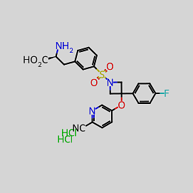 Cl.Cl.N#Cc1ccc(OC2(c3ccc(F)cc3)CN(S(=O)(=O)c3cccc(C[C@H](N)C(=O)O)c3)C2)cn1